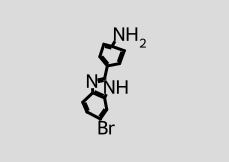 Nc1ccc(-c2nc3ccc(Br)cc3[nH]2)cc1